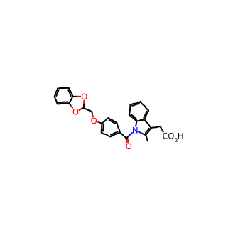 Cc1c(CC(=O)O)c2ccccc2n1C(=O)c1ccc(OCC2Oc3ccccc3O2)cc1